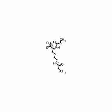 CCC(=O)NCCCCC(NC(=O)CC)C(C)=O